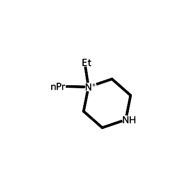 [CH2]CC[N+]1(CC)CCNCC1